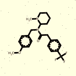 COc1ccc(CN(C(=O)Cc2ccc(C(F)(F)F)cc2)C2CCCCN2C)cc1